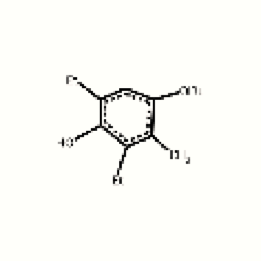 CCc1cc(OCC(C)C)c(C)c(CC)c1O